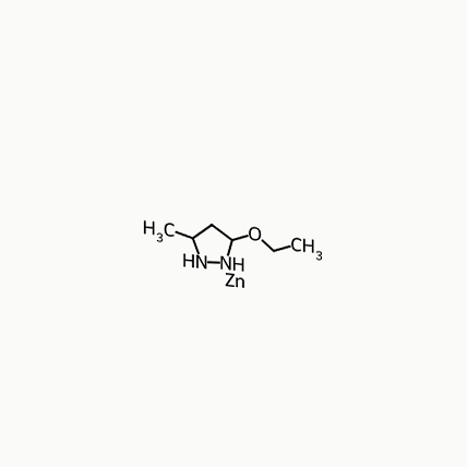 CCOC1CC(C)NN1.[Zn]